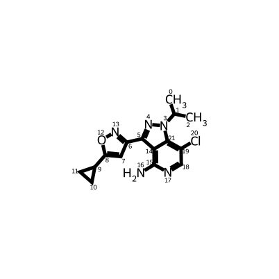 CC(C)n1nc(-c2cc(C3CC3)on2)c2c(N)ncc(Cl)c21